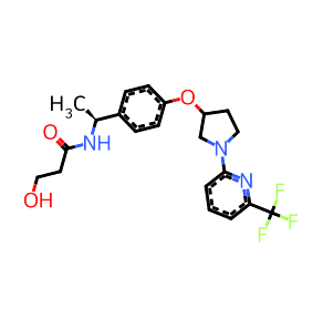 C[C@H](NC(=O)CCO)c1ccc(OC2CCN(c3cccc(C(F)(F)F)n3)C2)cc1